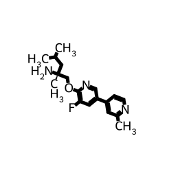 Cc1cc(-c2cnc(OC[C@@](C)(N)CC(C)C)c(F)c2)ccn1